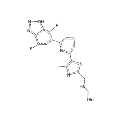 Cc1nc(CNCC(C)(C)C)sc1-c1cccc(-c2cc(F)c3nn[nH]c3c2F)n1